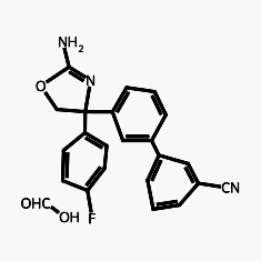 N#Cc1cccc(-c2cccc(C3(c4ccc(F)cc4)COC(N)=N3)c2)c1.O=CO